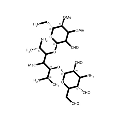 COC(C(O[C@H]1O[C@H](CN)[C@@H](OC)C(OC)C1C=O)[C@H](C)N)[C@@H](O[C@H]1OC(CC=O)[C@@H](C=O)C(N)[C@@H]1C=O)[C@@H](C)N